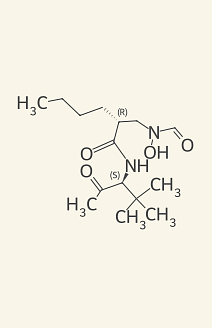 CCCC[C@H](CN(O)C=O)C(=O)N[C@H](C(C)=O)C(C)(C)C